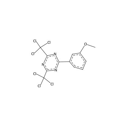 COc1cccc(-c2nc(C(Cl)(Cl)Cl)nc(C(Cl)(Cl)Cl)n2)c1